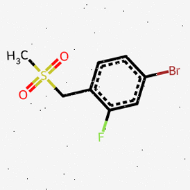 CS(=O)(=O)Cc1ccc(Br)cc1F